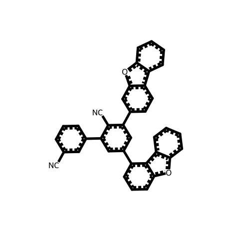 N#Cc1cccc(-c2cc(-c3cccc4oc5ccccc5c34)cc(-c3ccc4c(c3)oc3ccccc34)c2C#N)c1